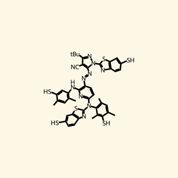 Cc1cc(C)c(Nc2nc(N(c3nc4ccc(S)cc4s3)c3c(C)cc(C)c(S)c3C)ccc2N=Nc2c(C#N)c(C(C)(C)C)nn2-c2nc3ccc(S)cc3s2)cc1S